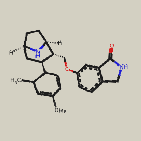 COC1=CC(C)C([C@H]2C[C@H]3CC[C@H](N3)[C@@H]2COc2ccc3c(c2)C(=O)NC3)C=C1